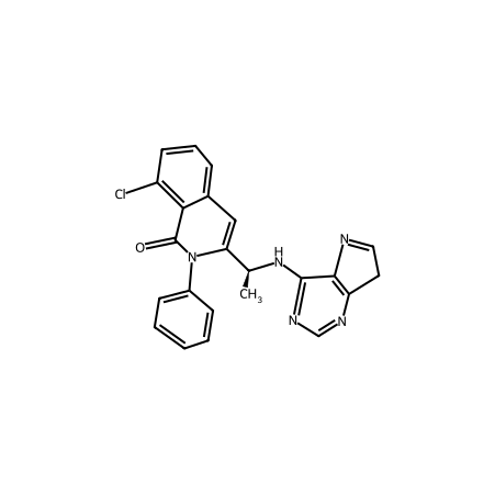 C[C@H](Nc1ncnc2c1N=CC2)c1cc2cccc(Cl)c2c(=O)n1-c1ccccc1